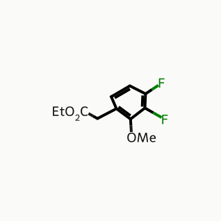 CCOC(=O)Cc1ccc(F)c(F)c1OC